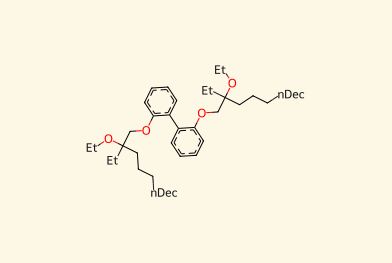 CCCCCCCCCCCCCC(CC)(COc1ccccc1-c1ccccc1OCC(CC)(CCCCCCCCCCCCC)OCC)OCC